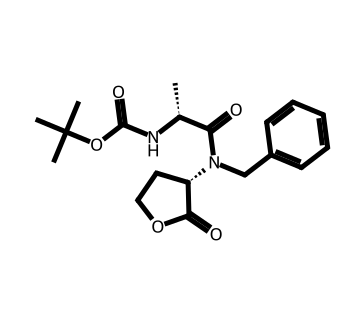 C[C@@H](NC(=O)OC(C)(C)C)C(=O)N(Cc1ccccc1)[C@H]1CCOC1=O